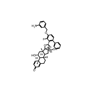 C[C@]12C=CC(=O)C=C1CC[C@@H]1[C@@H]2[C@@H](O)C[C@@]2(C)[C@H]1C[C@H]1O[C@H](c3c(-c4ccccc4)ccc(OCc4cccc(N)c4)c3F)O[C@]12C(=O)CO